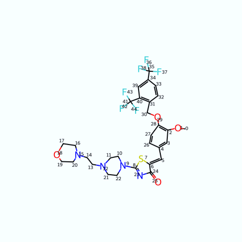 COc1cc(/C=C2\SC(N3CCN(CCN4CCOCC4)CC3)=NC2=O)ccc1OCc1ccc(C(F)(F)F)cc1C(F)(F)F